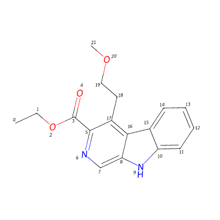 CCOC(=O)c1ncc2[nH]c3ccccc3c2c1CCOC